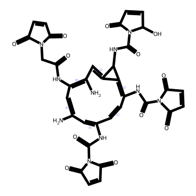 NC1=C/C(NC(=O)CN2C(=O)C=CC2=O)=C(N)/C=C2/C(=C(NC(=O)N3C(=O)C=CC3=O)\C=C/C(NC(=O)N3C(=O)C=CC3=O)=C\1)C2NC(=O)N1C(=O)C=CC1O